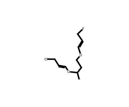 [CH2]C(CCOC=CCF)OC=CCCl